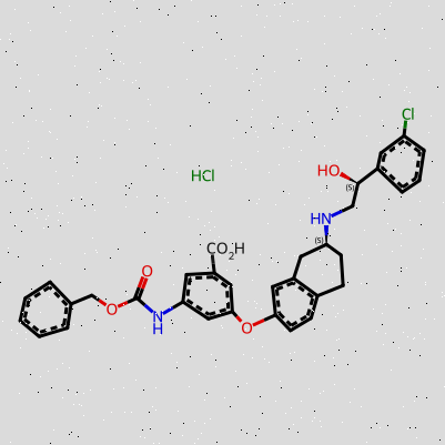 Cl.O=C(Nc1cc(Oc2ccc3c(c2)C[C@@H](NC[C@@H](O)c2cccc(Cl)c2)CC3)cc(C(=O)O)c1)OCc1ccccc1